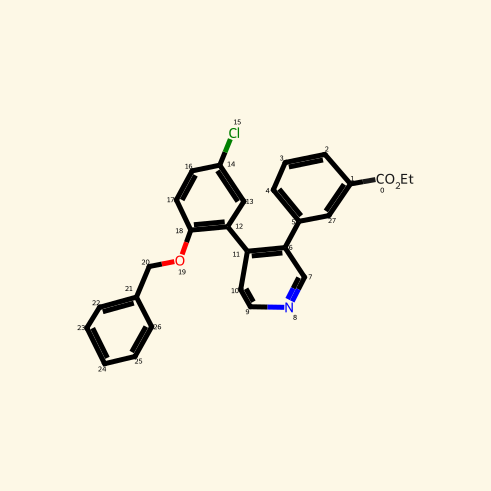 CCOC(=O)c1cccc(-c2cnccc2-c2cc(Cl)ccc2OCc2ccccc2)c1